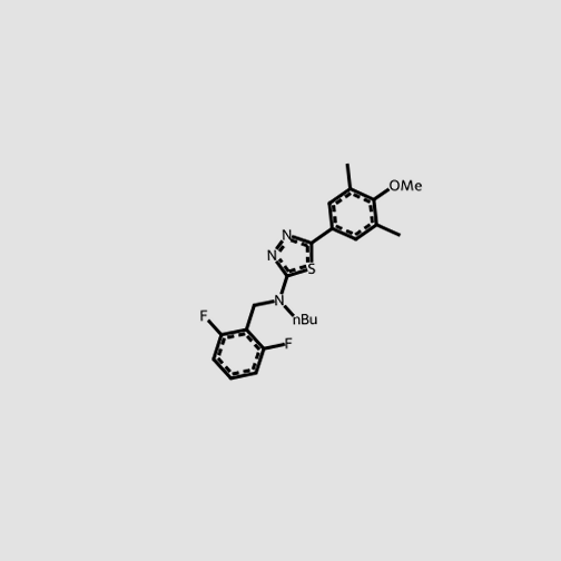 CCCCN(Cc1c(F)cccc1F)c1nnc(-c2cc(C)c(OC)c(C)c2)s1